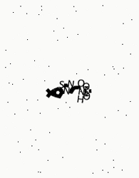 CC1(C)C2Cc3c(sc4nc(C(=O)NS(C)(=O)=O)cn34)C21